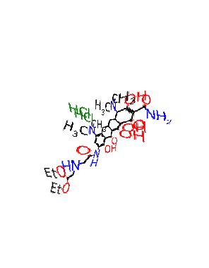 CCOC(CNCC(=O)Nc1cc(N(C)C)c2c(c1O)C(=O)C1=C(O)[C@]3(O)C(=O)C(C(N)=O)=C(O)[C@@H](N(C)C)C3CC1C2)OCC.Cl.Cl